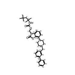 CC(C)(C)CC(C)(C)NC(=O)OCn1c(=O)oc2c(N3CCN(Cc4cccc(-c5ccccc5)c4)CC3)cccc21